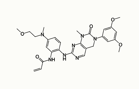 C=CC(=O)Nc1cc(N(C)CCOC)ccc1Nc1ncc2c(n1)N(C)C(=O)N(c1cc(OC)cc(OC)c1)C2